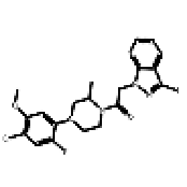 COc1cc(N2CCN(C(=O)Cn3nc(I)c4cccnc43)C(C)C2)c(F)cc1Cl